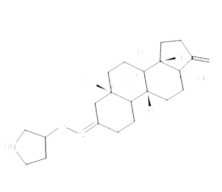 C[C@]12CC[C@H]3[C@@H](CC[C@@]4(O)CC(=NOC5CCNC5)CC[C@]34C)[C@@H]1CCC2=O